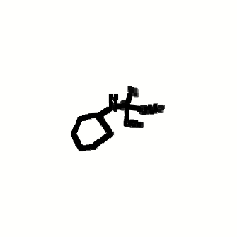 CC[Si](NC1CCCCC1)(OC)OC